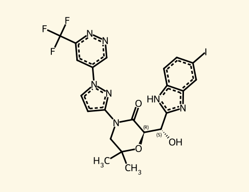 CC1(C)CN(c2ccn(-c3cnnc(C(F)(F)F)c3)n2)C(=O)[C@@H]([C@@H](O)c2nc3cc(I)ccc3[nH]2)O1